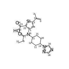 C=C(C)c1cc(N(C(=O)CC)C2CCC(n3cncn3)CC2)c(C(=O)O)s1